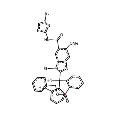 CCc1c(C(O)(c2ccccc2C)c2ccccc2C(=O)OCc2ccccc2)nc2cc(OC)c(C(=O)Nc3ncn(CC)n3)cn12